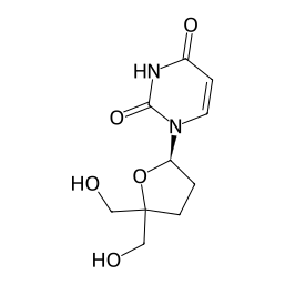 O=c1ccn([C@H]2CCC(CO)(CO)O2)c(=O)[nH]1